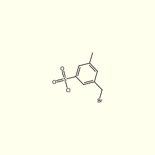 Cc1cc(CBr)cc(S(=O)(=O)Cl)c1